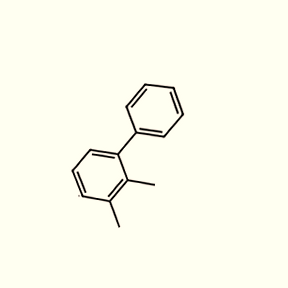 Cc1[c]ccc(-c2ccccc2)c1C